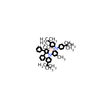 Cc1cc2c3c(c1)N(c1ccc(C(C)(C)C)cc1)c1ccc(C(C)(C)C)cc1B3C1=C(C(c3ccccc3)=C(c3ccccc3)C1(C)C)N2c1ccc(C(C)(C)C)cc1